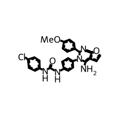 COc1ccc(C2N=c3occc3=C(N)N2c2ccc(NC(=O)Nc3ccc(Cl)cc3)cc2)cc1